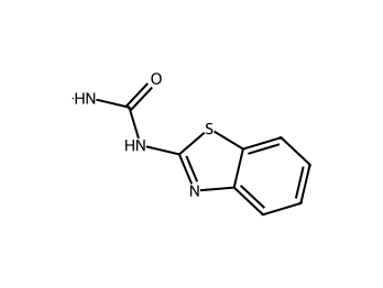 [NH]C(=O)Nc1nc2ccccc2s1